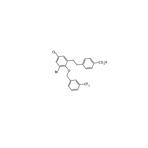 O=C(O)c1ccc(CCc2cc(Cl)cc(Br)c2OCc2cccc(C(F)(F)F)c2)cc1